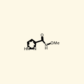 CONC(=O)c1cc[nH]n1